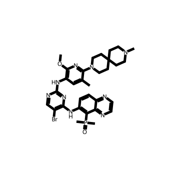 COc1nc(N2CCC3(CCN(C)CC3)CC2)c(C)cc1Nc1ncc(Br)c(Nc2ccc3nccnc3c2P(C)(C)=O)n1